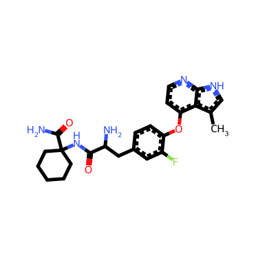 Cc1c[nH]c2nccc(Oc3ccc(CC(N)C(=O)NC4(C(N)=O)CCCCC4)cc3F)c12